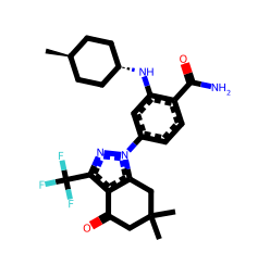 CC1(C)CC(=O)c2c(C(F)(F)F)nn(-c3ccc(C(N)=O)c(N[C@H]4CC[C@H](C)CC4)c3)c2C1